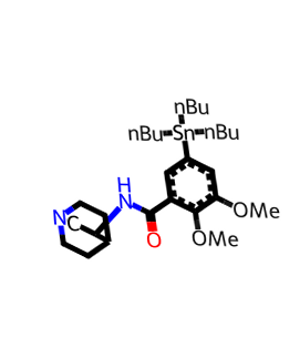 CCC[CH2][Sn]([CH2]CCC)([CH2]CCC)[c]1cc(OC)c(OC)c(C(=O)NC2CN3CCC2CC3)c1